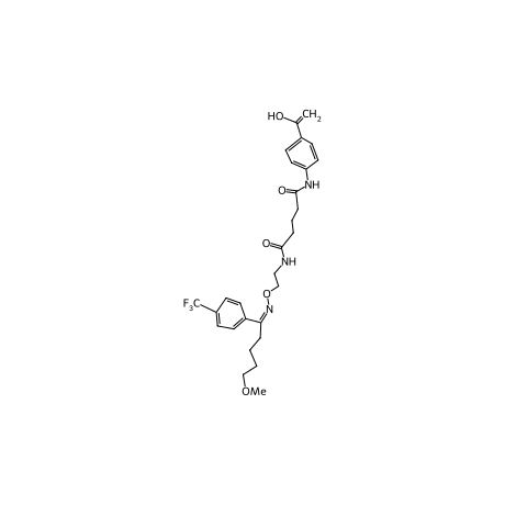 C=C(O)c1ccc(NC(=O)CCCC(=O)NCCO/N=C(/CCCCOC)c2ccc(C(F)(F)F)cc2)cc1